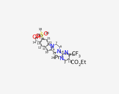 CCOC(=O)c1cnc(N2CCn3c(cc4cc(CO)c(S(C)(=O)=O)cc43)[C@H]2C(C)C)nc1C(F)(F)F